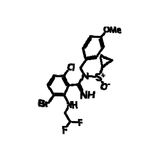 COc1ccc(CN(C(=N)c2c(Cl)ccc(Br)c2NCC(F)F)[S+]([O-])C2CC2)cc1